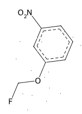 O=[N+]([O-])c1cccc(OCF)c1